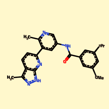 CCCc1cc(OC)cc(C(=O)Nc2cnc(C)c(-c3ccc4c(C)n[nH]c4n3)c2)c1